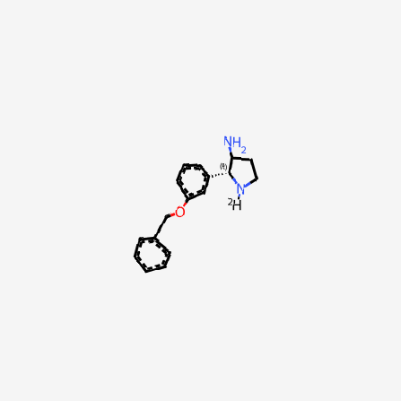 [2H]N1CCC(N)[C@H]1c1cccc(OCc2ccccc2)c1